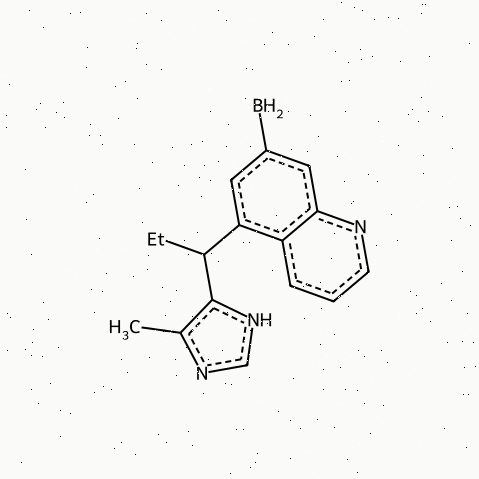 Bc1cc(C(CC)c2[nH]cnc2C)c2cccnc2c1